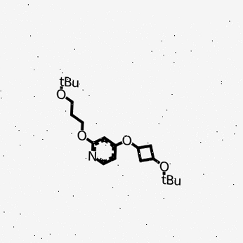 CC(C)(C)OCCCOc1cc(OC2CC(OC(C)(C)C)C2)ccn1